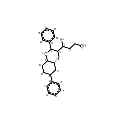 OCCC(F)C(F)C(OC1CCC(c2ccccc2)CC1)c1ccccc1